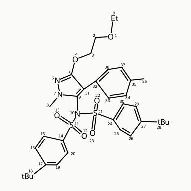 CCOCCOc1nn(C)c(N(S(=O)(=O)c2ccc(C(C)(C)C)cc2)S(=O)(=O)c2ccc(C(C)(C)C)cc2)c1-c1ccc(C)cc1